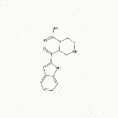 [NH]C(=O)N1CCNCC1C(=O)c1cc2ccccc2[nH]1